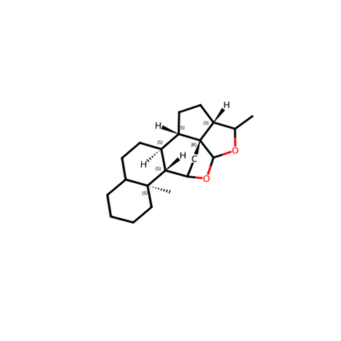 CC1OC2OC3C[C@@]24[C@@H]1CC[C@H]4[C@@H]1CCC2CCCC[C@]2(C)[C@@H]31